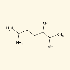 CCCC(C)C(C)CCC(N)N